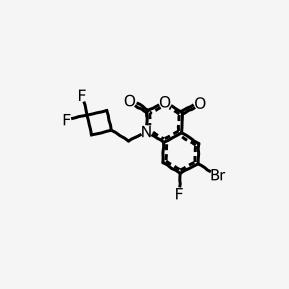 O=c1oc(=O)n(CC2CC(F)(F)C2)c2cc(F)c(Br)cc12